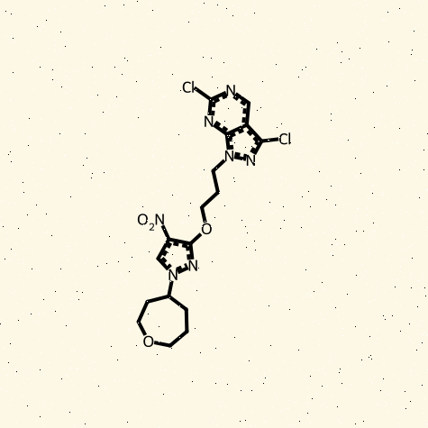 O=[N+]([O-])c1cn(C2CCCOCC2)nc1OCCCn1nc(Cl)c2cnc(Cl)nc21